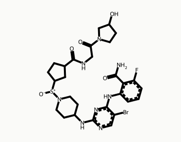 NC(=O)c1c(F)cccc1Nc1nc(NC2CCN([S+]([O-])C3CCC(C(=O)NCC(=O)N4CCC(O)C4)C3)CC2)ncc1Br